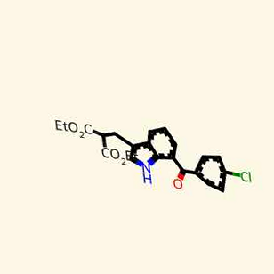 CCOC(=O)C(Cc1c[nH]c2c(C(=O)c3ccc(Cl)cc3)cccc12)C(=O)OCC